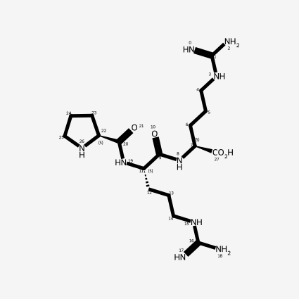 N=C(N)NCCC[C@H](NC(=O)[C@H](CCCNC(=N)N)NC(=O)[C@@H]1CCCN1)C(=O)O